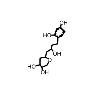 Oc1ccc(CCC(O)CC2CC(O)C(O)CO2)c(O)c1